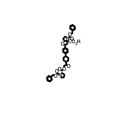 O=C(CC1(C(=O)O)CCCN1C(=O)OCc1ccccc1)c1ccc(C2CCC(C(=O)COC(=O)[C@@H]3CCCN3C(=O)OCc3ccccc3)CC2)cc1